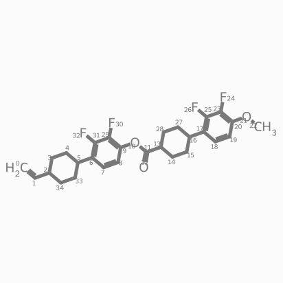 C=CC1CCC(c2ccc(OC(=O)C3CCC(c4ccc(OC)c(F)c4F)CC3)c(F)c2F)CC1